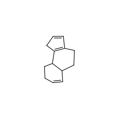 [CH]1C=CC2=C1C1CCC=CC1CC2